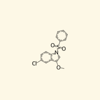 COc1cn(S(=O)(=O)c2ccccc2)c2ccc(Cl)cc12